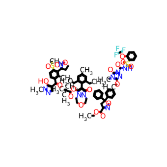 CCOC(=O)C1=NOC(c2ccccc2)(c2ccccc2)C1.CCc1cc(C)cc(CC)c1-c1c(OC(=O)C(C)(C)C)n2n(c1=O)CCOCC2.COc1nn(C(=O)NS(=O)(=O)c2ccccc2OC(F)(F)F)c(=O)n1C.Cc1c(C(=O)c2cnn(C)c2O)ccc(S(C)(=O)=O)c1C1=NOCC1